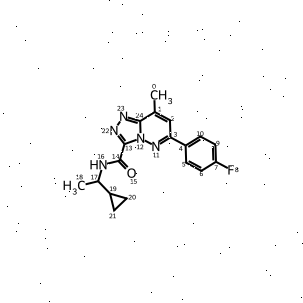 Cc1cc(-c2ccc(F)cc2)nn2c(C(=O)NC(C)C3CC3)nnc12